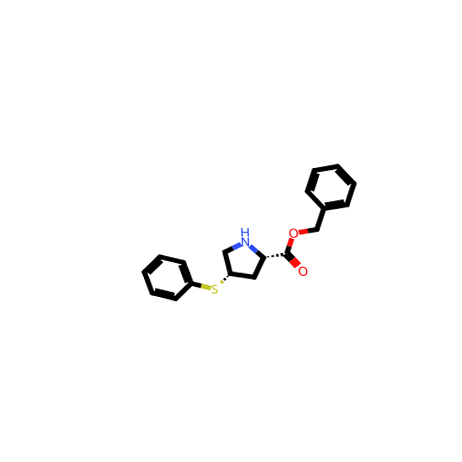 O=C(OCc1ccccc1)[C@@H]1C[C@H](Sc2ccccc2)CN1